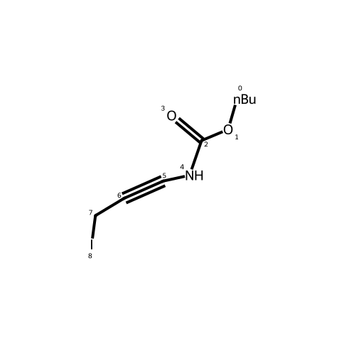 CCCCOC(=O)NC#CCI